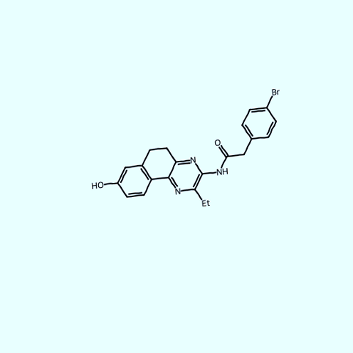 CCc1nc2c(nc1NC(=O)Cc1ccc(Br)cc1)CCc1cc(O)ccc1-2